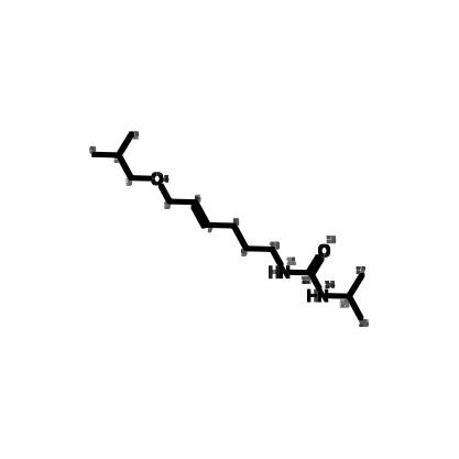 CC(C)COC/C=C/CCCNC(=O)NC(C)C